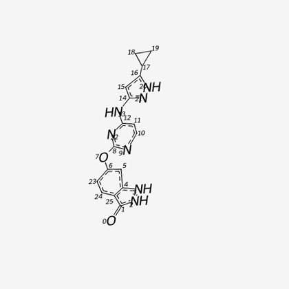 O=c1[nH][nH]c2cc(Oc3nccc(Nc4cc(C5CC5)[nH]n4)n3)ccc12